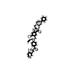 C#CCN(Cc1cc2c(=O)n(C)c(CN3CCN(c4ccccc4)CC3)nc2cc1Cl)c1ccc(C(=O)NCc2cccnc2)cc1